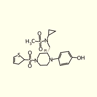 CS(=O)(=O)N(C[C@H]1CN(S(=O)(=O)C2CC=CS2)CCN1c1ccc(O)cc1)C1CC1